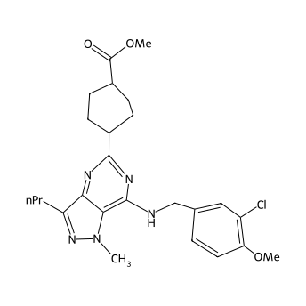 CCCc1nn(C)c2c(NCc3ccc(OC)c(Cl)c3)nc(C3CCC(C(=O)OC)CC3)nc12